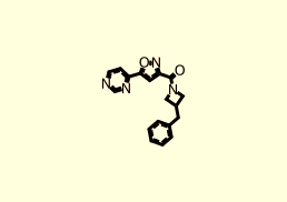 O=C(c1cc(-c2ccncn2)on1)N1CC(Cc2ccccc2)C1